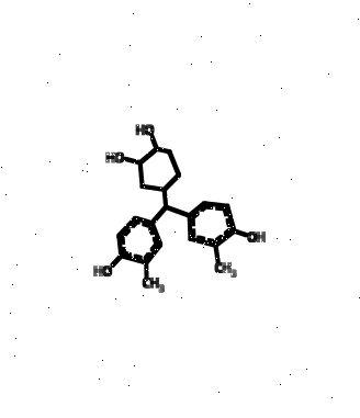 Cc1cc(C(c2ccc(O)c(C)c2)C2CCC(O)C(O)C2)ccc1O